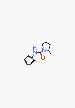 CC1CCCN1C(=O)Nc1ccccc1F